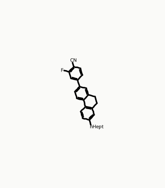 CCCCCCCc1ccc2c(c1)CCc1cc(-c3ccc(C#N)c(F)c3)ccc1-2